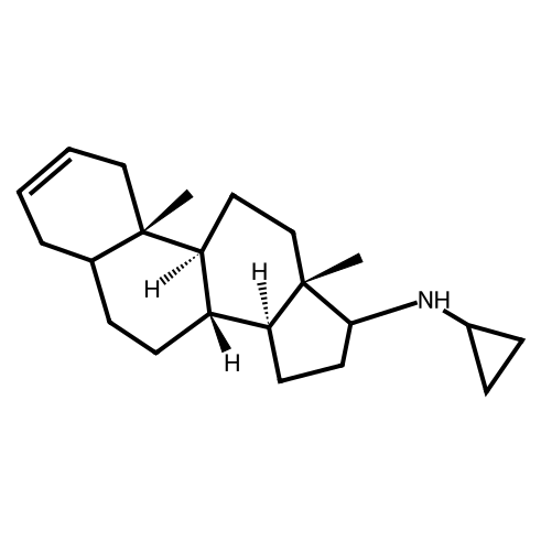 C[C@]12CC=CCC1CC[C@@H]1[C@@H]2CC[C@]2(C)C(NC3CC3)CC[C@@H]12